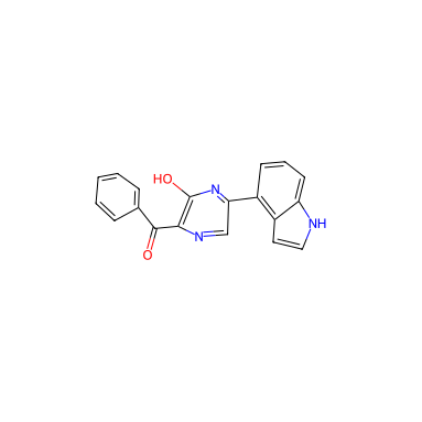 O=C(c1ccccc1)c1ncc(-c2cccc3[nH]ccc23)nc1O